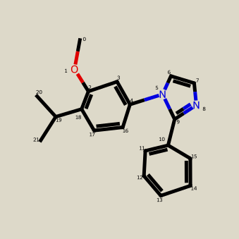 COc1cc(-n2ccnc2-c2ccccc2)ccc1C(C)C